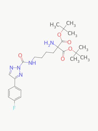 CC(C)(C)OC(=O)C(N)(CCCCNC(=O)n1ncc(-c2ccc(F)cc2)n1)C(=O)OC(C)(C)C